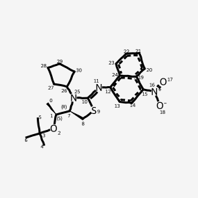 C[C@H](OC(C)(C)C)[C@@H]1CSC(=Nc2ccc([N+](=O)[O-])c3ccccc23)N1C1CCCC1